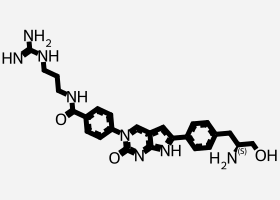 N=C(N)NCCCNC(=O)c1ccc(-n2cc3cc(-c4ccc(C[C@H](N)CO)cc4)[nH]c3nc2=O)cc1